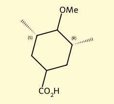 COC1[C@H](C)CC(C(=O)O)C[C@@H]1C